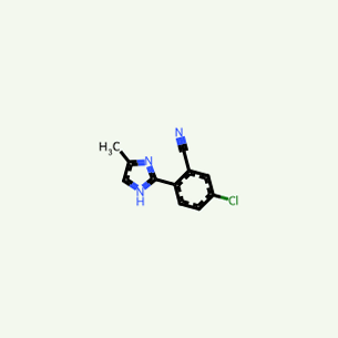 Cc1c[nH]c(-c2ccc(Cl)cc2C#N)n1